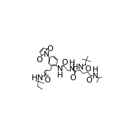 CCC(C)(C)NC(=O)CCc1cc(N2C(=O)C=CC2=O)ccc1NC(=O)CNC(=O)C(CCC(=O)NC(C)C)NC(=O)C(C)(C)C